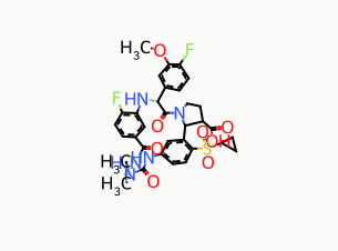 COc1cc([C@@H](Nc2cc(C(N)=O)ccc2F)C(=O)N2CCC(C(=O)O)C2c2cc(NC(=O)N(C)C)ccc2S(=O)(=O)C2CC2)ccc1F